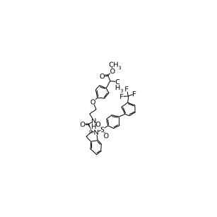 COC(=O)C(C)c1ccc(OCCNC(=O)[C@@H]2Cc3ccccc3N2S(=O)(=O)c2ccc(-c3cccc(C(F)(F)F)c3)cc2)cc1